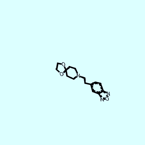 c1cc2nonc2cc1CCN1CCC2(CC1)OCCO2